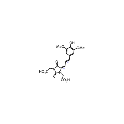 COc1cc(/C=C/C=C2\C(=O)N(CC(=O)O)C(=S)N2CC(=O)O)cc(OC)c1O